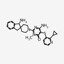 Cn1c(N2CCC3(CC2)Cc2ccccc2[C@H]3N)nc(N)c(Sc2cccnc2C2CC2)c1=O